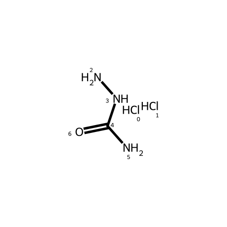 Cl.Cl.NNC(N)=O